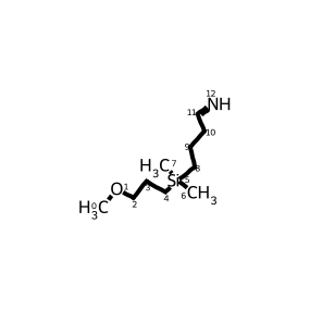 COCCC[Si](C)(C)CCCC=N